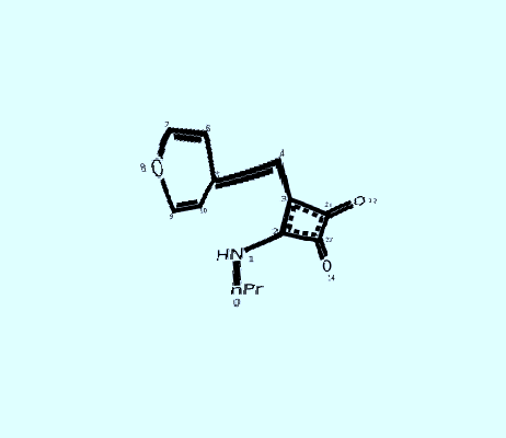 CCCNc1c(C=C2C=COC=C2)c(=O)c1=O